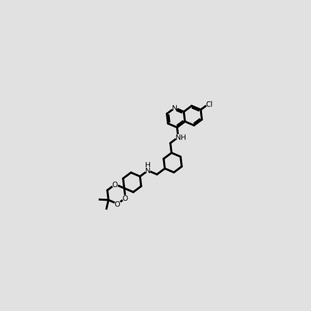 CC1(C)COC2(CCC(NCC3CCCC(CNc4ccnc5cc(Cl)ccc45)C3)CC2)OO1